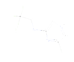 FC(F)(F)CNc1cncc(Cl)n1